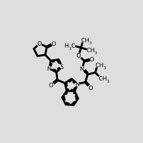 CC(C)C(=NC(=O)OC(C)(C)C)C(=O)n1cc(C(=O)c2nc(C3CCOC3=O)cs2)c2ccccc21